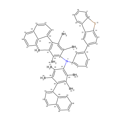 Bc1c(B)c(N(c2cccc(-c3ccc4sc5ccccc5c4c3)c2)c2c(B)c(B)c(-c3cccc4ccccc34)c(B)c2B)c(B)c(B)c1-c1cccc2ccccc12